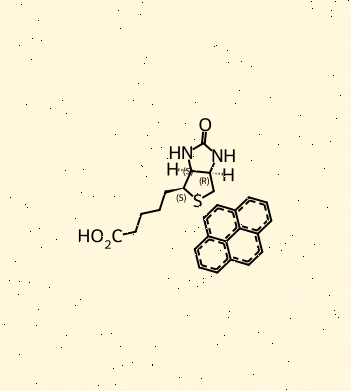 O=C(O)CCCC[C@@H]1SC[C@@H]2NC(=O)N[C@@H]21.c1cc2ccc3cccc4ccc(c1)c2c34